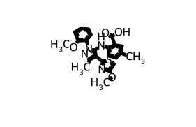 COc1csc(-c2c(C)nn(-c3ccccc3OC)c2Nc2ccc(C)cc2C(=O)O)n1